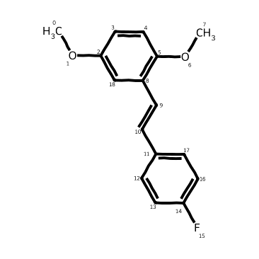 COc1ccc(OC)c(C=Cc2ccc(F)cc2)c1